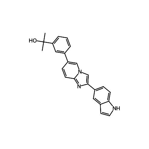 CC(C)(O)c1cccc(-c2ccc3nc(-c4ccc5[nH]ccc5c4)cn3c2)c1